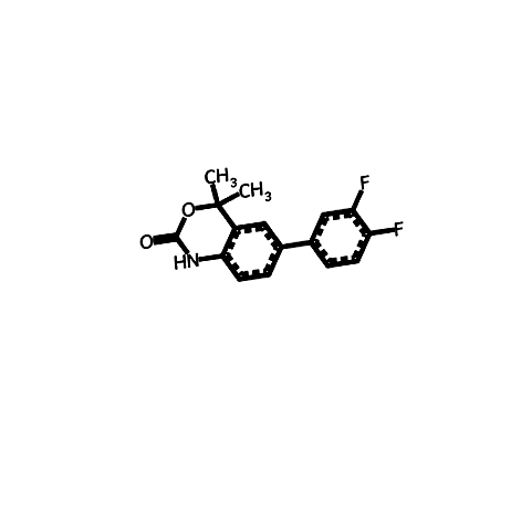 CC1(C)OC(=O)Nc2ccc(-c3ccc(F)c(F)c3)cc21